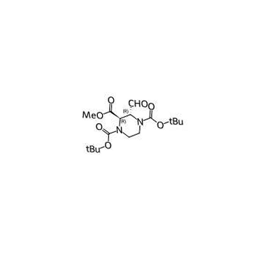 COC(=O)[C@H]1[C@H](C=O)N(C(=O)OC(C)(C)C)CCN1C(=O)OC(C)(C)C